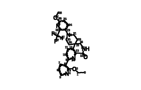 CCOc1ncccc1-c1ccc2c(n1)C(=O)NCC21CCN(c2ccc(OC)nc2C(F)(F)F)CC1